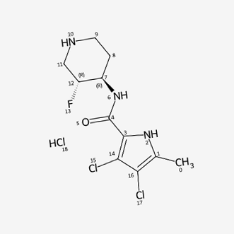 Cc1[nH]c(C(=O)N[C@@H]2CCNC[C@H]2F)c(Cl)c1Cl.Cl